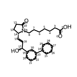 O=C(O)CCCCCCN1C(=O)CC[C@@H]1C=CC(O)c1cccc(-c2ccccc2)c1